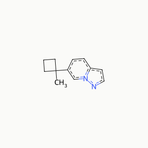 CC1(c2ccc3ccnn3c2)CCC1